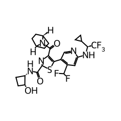 O=C(N[C@H]1CC[C@@H]1O)c1nc(C(=O)N2[C@H]3CC[C@@H]2CC3)c(-c2cnc(N[C@@H](C3CC3)C(F)(F)F)cc2C(F)F)s1